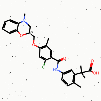 Cc1cc(C(=O)Nc2ccc(C)c(C(C)(C)C(=O)O)c2)c(Cl)cc1OC[C@@H]1CN(C)c2ccccc2O1